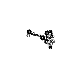 COc1ccccc1COCCCOc1ccc(C2CCN(C(=O)OC(C)(C)C)CC2OCc2cccc3c2N(COCC[Si](C)(C)C)C(=O)CC3(C)C)cc1